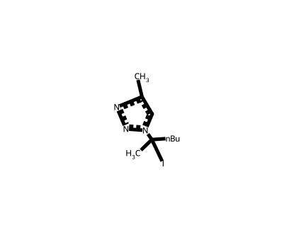 CCCCC(C)(I)n1cc(C)nn1